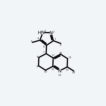 Cc1n[nH]c(C)c1C1CCCC2=NC(C)CC=C21